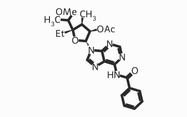 CC[C@]1(C(C)OC)O[C@@H](n2cnc3c(NC(=O)c4ccccc4)ncnc32)[C@H](OC(C)=O)[C@@H]1C